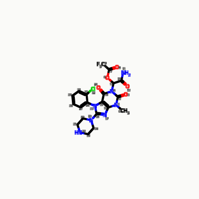 Cn1c(=O)n(C(OC(=O)C(F)(F)F)C(N)=O)c(=O)c2c1nc(N1CCNCC1)n2-c1ccccc1Cl